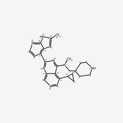 CN(CC1CCNCC1)c1nc(-c2ccnc3[nH]c(C(F)(F)F)cc23)nc2cncc(C3CC3)c12